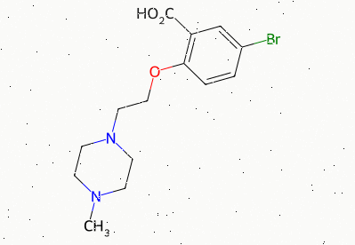 CN1CCN(CCOc2ccc(Br)cc2C(=O)O)CC1